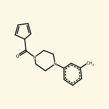 Cc1cccc(N2CCN(C(=O)C3C=CC=C3)CC2)c1